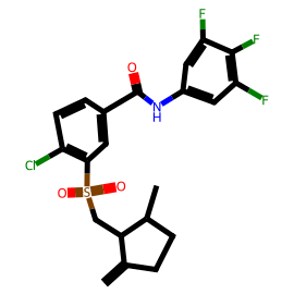 C=C1CCC(C)C1CS(=O)(=O)c1cc(C(=O)Nc2cc(F)c(F)c(F)c2)ccc1Cl